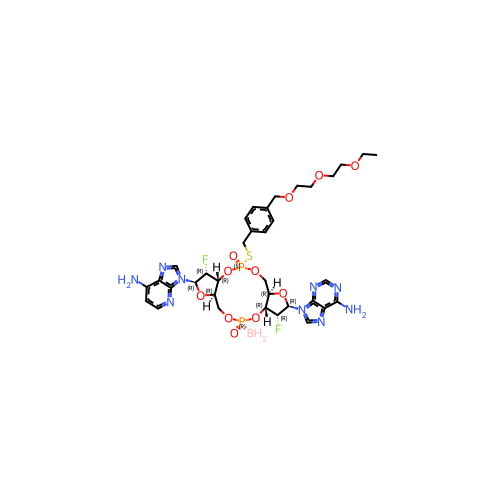 B[P@@]1(=O)OC[C@H]2O[C@@H](n3cnc4c(N)ccnc43)[C@H](F)[C@@H]2O[P@@](=O)(SCc2ccc(COCCOCCOCC)cc2)OC[C@H]2O[C@@H](n3cnc4c(N)ncnc43)[C@H](F)[C@@H]2O1